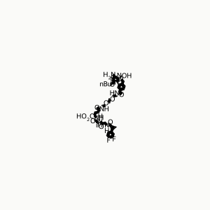 CCCCOc1nc(N)c2nc(O)n(Cc3ccc(C(=O)NCCOCCOCCNC(=O)CCC(NC(=O)C(NC(=O)CNC(=O)C4CC4c4ccc(F)c(F)c4)C(C)C)C(=O)O)cc3)c2n1